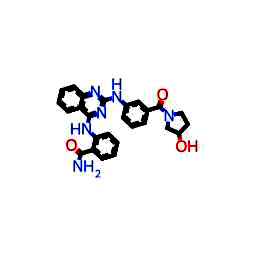 NC(=O)c1ccccc1Nc1nc(Nc2cccc(C(=O)N3CCC(O)C3)c2)nc2ccccc12